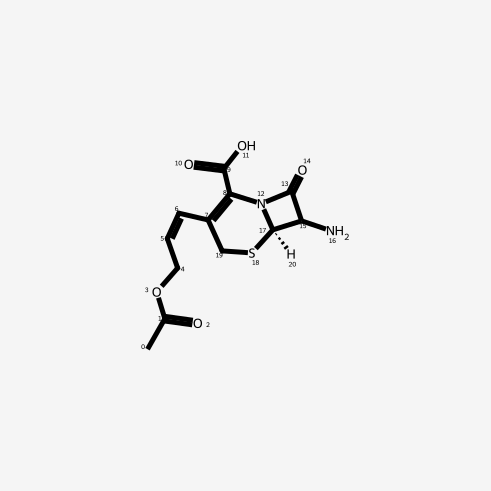 CC(=O)OC/C=C\C1=C(C(=O)O)N2C(=O)C(N)[C@H]2SC1